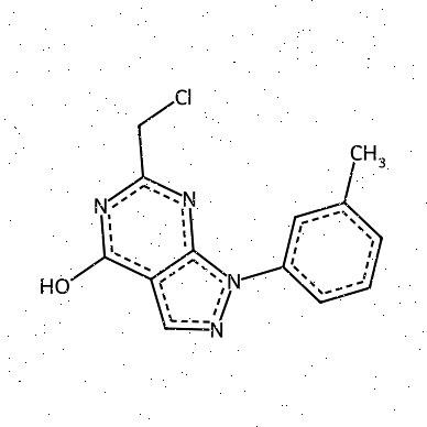 Cc1cccc(-n2ncc3c(O)nc(CCl)nc32)c1